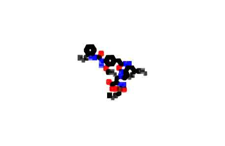 CCS(=O)(=O)NC(Cn1ccc(C(CC(C)C)NC(=O)Cc2ccc(NC(=O)Nc3ccccc3C)c(OC)c2)n1)C(=O)O